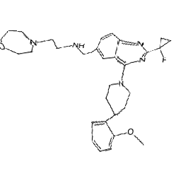 COc1ccccc1C1CCN(c2nc(C3(F)CC3)nc3ccc(CNCCN4CCOCC4)cc23)CC1